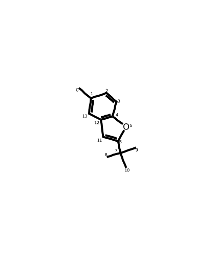 Cc1ccc2oc(C(C)(C)C)cc2c1